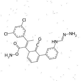 CC(=C(C(=O)ON)C1C=CC=C(c2cccc(NC=NN)c2)C1=C=O)c1cc(Cl)cc(Cl)c1